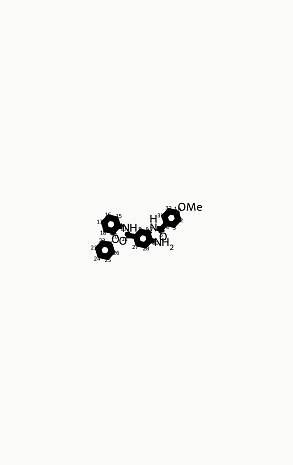 COc1ccc(C(=O)Nc2cc(C(=O)Nc3ccccc3Oc3ccccc3)ccc2N)cc1